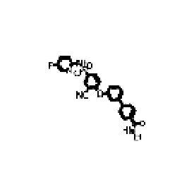 CCNC(=O)c1ccc(-c2cccc(Oc3ccc(S(=O)(=O)Nc4ccc(F)cn4)cc3C#N)c2)cc1